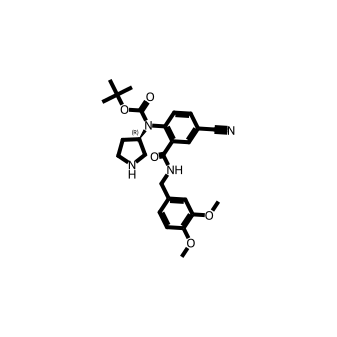 COc1ccc(CNC(=O)c2cc(C#N)ccc2N(C(=O)OC(C)(C)C)[C@@H]2CCNC2)cc1OC